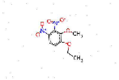 CCOc1ccc([N+](=O)[O-])c([N+](=O)[O-])c1OC